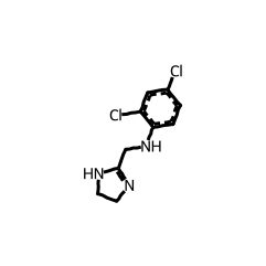 Clc1ccc(NCC2=NCCN2)c(Cl)c1